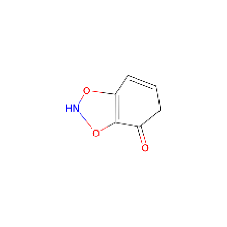 O=C1CC=CC2=C1ONO2